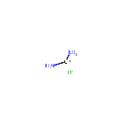 [Cl-].[NH2][Cr+][NH2]